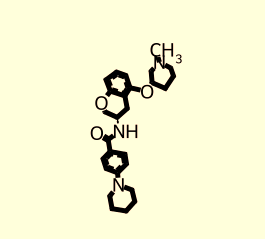 CN1CCCC(Oc2cccc3c2C[C@H](NC(=O)c2ccc(N4CCCCC4)cc2)CO3)C1